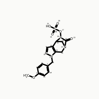 COc1ccc(Cn2ncc3c2CN2CC3N(OS(=O)(=O)O)C2=O)cc1